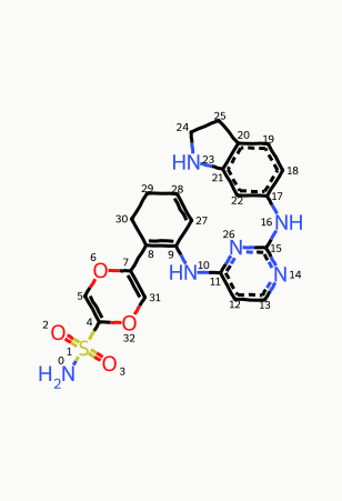 NS(=O)(=O)C1=COC(C2=C(Nc3ccnc(Nc4ccc5c(c4)NCC5)n3)C=CCC2)=CO1